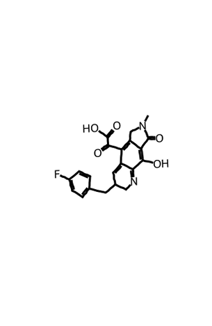 CN1Cc2c(c(O)c3c(c2C(=O)C(=O)O)=CC(Cc2ccc(F)cc2)CN=3)C1=O